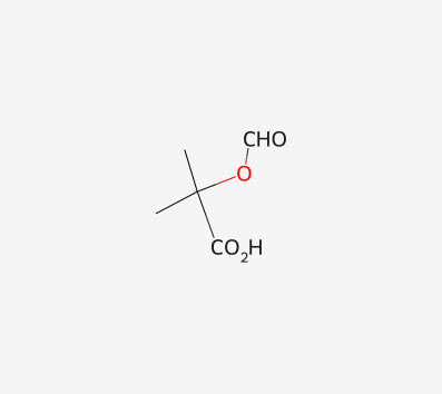 CC(C)(OC=O)C(=O)O